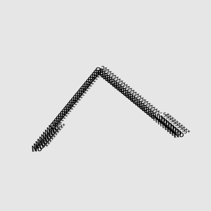 [Nb+5].[Nb+5].[Nb+5].[Nb+5].[Nb+5].[Nb+5].[Nb+5].[Nb+5].[Nb+5].[Nb+5].[Nb+5].[Nb+5].[Nb+5].[Nb+5].[Nb+5].[Nb+5].[Nb+5].[Nb+5].[Nb+5].[Nb+5].[O-2].[O-2].[O-2].[O-2].[O-2].[O-2].[O-2].[O-2].[O-2].[O-2].[O-2].[O-2].[O-2].[O-2].[O-2].[O-2].[O-2].[O-2].[O-2].[O-2].[O-2].[O-2].[O-2].[O-2].[O-2].[O-2].[O-2].[O-2].[O-2].[O-2].[O-2].[O-2].[O-2].[O-2].[O-2].[O-2].[O-2].[O-2].[O-2].[O-2].[O-2].[O-2].[O-2].[O-2].[O-2].[O-2].[O-2].[O-2].[O-2]